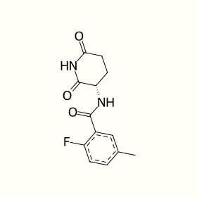 Cc1ccc(F)c(C(=O)N[C@H]2CCC(=O)NC2=O)c1